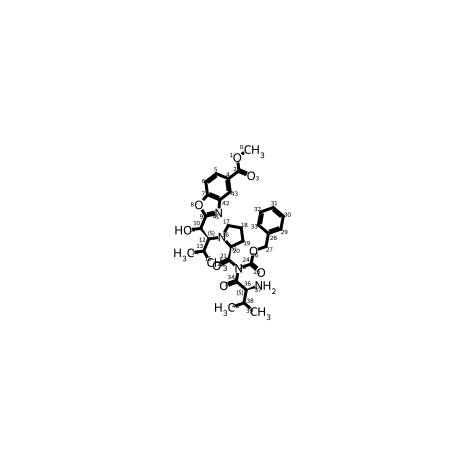 COC(=O)c1ccc2oc(C(O)[C@H](C(C)C)N3CCC[C@H]3C(=O)N(C(=O)OCc3ccccc3)C(=O)[C@@H](N)C(C)C)nc2c1